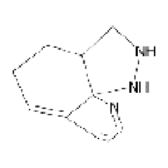 C1=CC2=CCCC3CNNC23N=C1